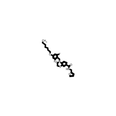 CCCCCCCOc1cc(F)c(CN2C(=O)CSc3cc(C(=O)NCc4ccco4)ccc32)c(F)c1